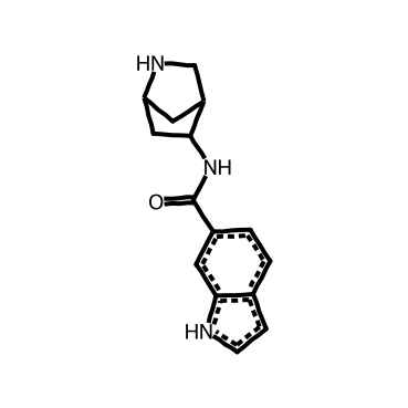 O=C(NC1CC2CC1CN2)c1ccc2cc[nH]c2c1